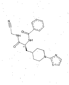 N#CCNC(=O)[C@H](CC1CCN(c2nccs2)CC1)NC(=O)c1ccccc1